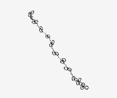 C=C(C)C(=O)OCCCCCC(=O)OCCCCCC(=O)OCCCCCC(=O)OCCCCCC(=O)OCCCCCC(=O)OCCCCCC(=O)OCCCCCC(=O)OCCCCCCOc1ccc(C(=O)Oc2ccc(OC(=O)c3ccccc3)cc2)cc1